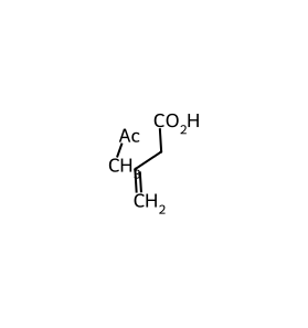 C=CCC(=O)O.CC(C)=O